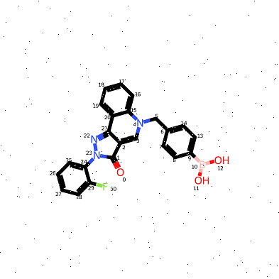 O=c1c2cn(Cc3ccc(B(O)O)cc3)c3ccccc3c-2nn1-c1ccccc1F